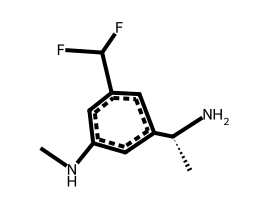 CNc1cc(C(F)F)cc([C@@H](C)N)c1